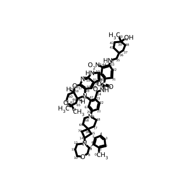 Cc1ccccc1[C@@H]1COCCCN1C1CC2(CCN(c3ccc(C(=O)NS(=O)(=O)c4ccc(NCC5CCC(C)(O)CC5)c([N+](=O)[O-])c4)c(N4c5cc6cc[nH]c6nc5O[C@H]5COC(C)(C)C[C@@H]54)c3)CC2)C1